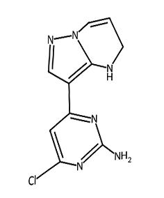 Nc1nc(Cl)cc(-c2cnn3c2NCC=C3)n1